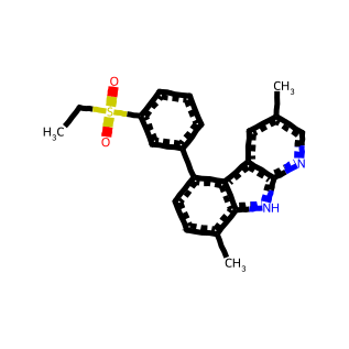 CCS(=O)(=O)c1cccc(-c2c[c]c(C)c3[nH]c4ncc(C)cc4c23)c1